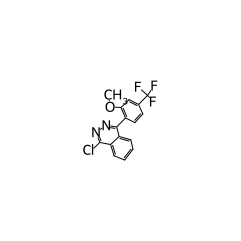 COc1cc(C(F)(F)F)ccc1-c1nnc(Cl)c2ccccc12